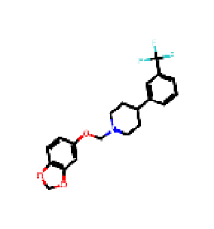 FC(F)(F)c1cccc(C2CCN(COc3ccc4c(c3)OCO4)CC2)c1